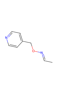 C/C=N/OCc1ccncc1